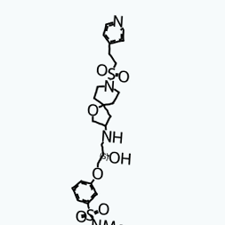 CNS(=O)(=O)c1cccc(OC[C@@H](O)CNC2COC3(CCN(S(=O)(=O)CCc4ccncc4)CC3)C2)c1